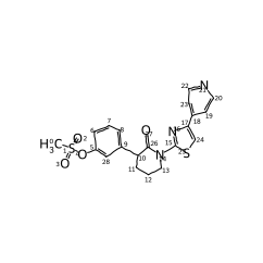 CS(=O)(=O)Oc1cccc(C2CCCN(c3nc(-c4ccncc4)cs3)C2=O)c1